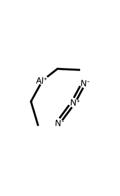 C[CH2][Al+][CH2]C.[N-]=[N+]=[N-]